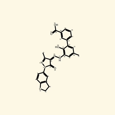 CC1=NN(c2ccc3c(c2)CCO3)C(=O)/C1=N\Nc1cc(C)cc(-c2cccc(C(=O)O)c2)c1O